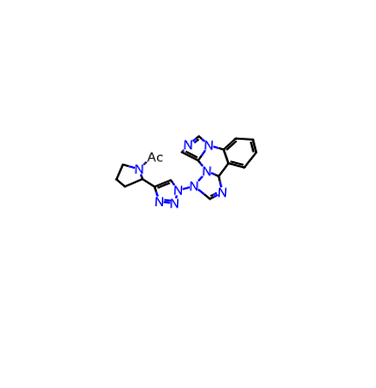 CC(=O)N1CCCC1c1cn(N2C=NC3c4ccccc4-n4cncc4N32)nn1